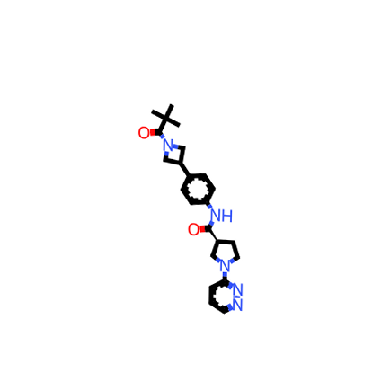 CC(C)(C)C(=O)N1CC(c2ccc(NC(=O)[C@H]3CCN(c4cccnn4)C3)cc2)C1